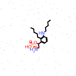 CCCCCNc1cccc(C(CN)OP(=O)(O)O)c1CCCCC